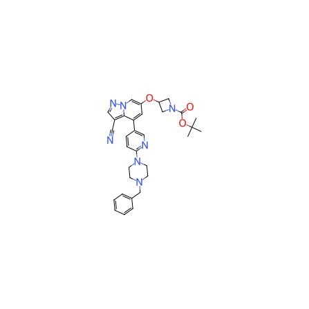 CC(C)(C)OC(=O)N1CC(Oc2cc(-c3ccc(N4CCN(Cc5ccccc5)CC4)nc3)c3c(C#N)cnn3c2)C1